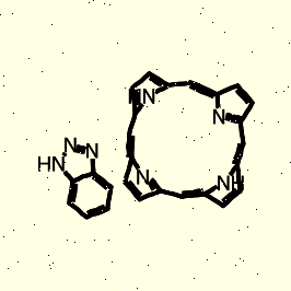 C1=Cc2cc3ccc(cc4nc(cc5ccc(cc1n2)[nH]5)C=C4)[nH]3.c1ccc2[nH]nnc2c1